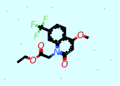 CCOC(=O)Cn1c(=O)cc(OC)c2ccc(C(F)(F)F)cc21